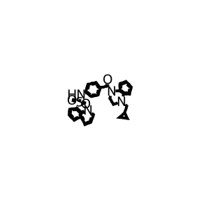 O=C(c1ccc(NS(=O)(=O)c2cccc3cccnc23)cc1)N1CCN(CC2CC2)c2ccccc21